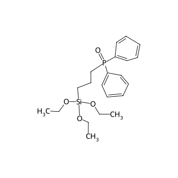 CCO[Si](CCCP(=O)(c1ccccc1)c1ccccc1)(OCC)OCC